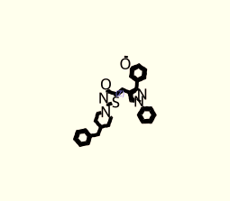 COc1cccc(-c2nn(-c3ccccc3)cc2/C=C2\SC(N3CCC(Cc4ccccc4)CC3)=NC2=O)c1